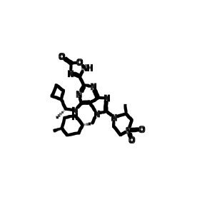 CC1CS(=O)(=O)CCN1c1nc2nc(-c3nc(=O)o[nH]3)nc(N[C@H](C)C3CCC3)c2n1C[C@H]1CC[C@H](C)CC1